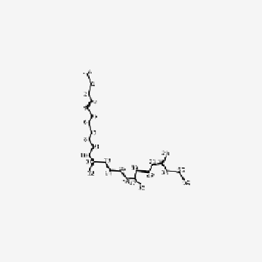 [CH2]CC/C=C/CCCCCCC(C)CCCCC(C)CCCC(C)CC[CH2]